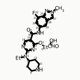 CCOc1nc(N(CC)C2CCNCC2)ncc1C(=O)Nc1cc(F)c2nn(C)cc2c1.O=CO